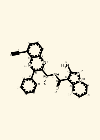 C#Cc1cccc2nc([C@@H](C)NC(=O)c3c(N)nn4cccnc34)c(-c3ccccc3)nc12